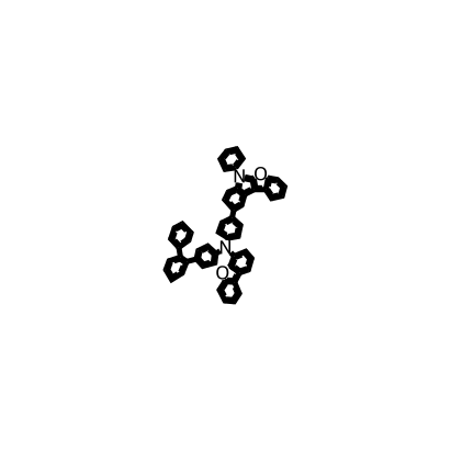 c1ccc(-c2ccccc2-c2ccc(N(c3ccc(-c4ccc5c(c4)c4c6ccccc6oc4n5-c4ccccc4)cc3)c3cccc4c3oc3ccccc34)cc2)cc1